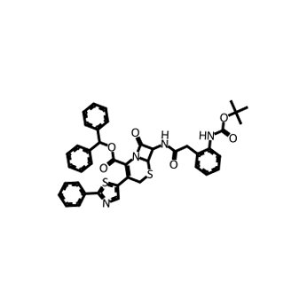 CC(C)(C)OC(=O)Nc1ccccc1CC(=O)NC1C(=O)N2C(C(=O)OC(c3ccccc3)c3ccccc3)=C(c3cnc(-c4ccccc4)s3)CSC12